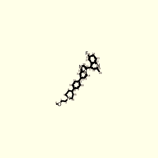 COCCN1CCC(c2ccc(-c3ccn4c(-c5cc(C)nc6ccc(F)cc56)cnc4c3)cc2)CC1